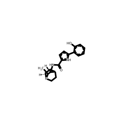 C[C@H]1[C@H](NC(=O)c2ccc(-c3ccccc3O)[nH]2)C2CCN1CC2